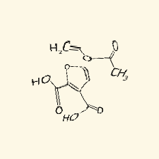 C=COC(C)=O.O=C(O)c1ccoc1C(=O)O